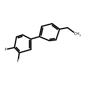 CCc1ccc(-c2ccc(F)c(F)c2)cc1